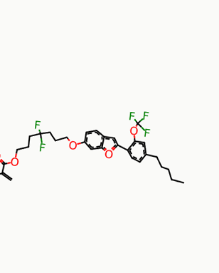 C=C(C)C(=O)OCCCC(F)(F)CCCOc1ccc2cc(-c3ccc(CCCCC)cc3OC(F)(F)F)oc2c1